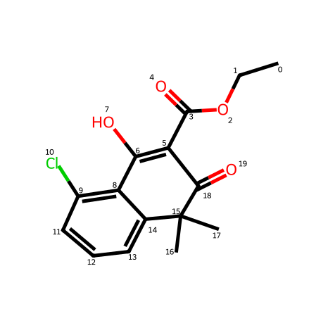 CCOC(=O)C1=C(O)c2c(Cl)cccc2C(C)(C)C1=O